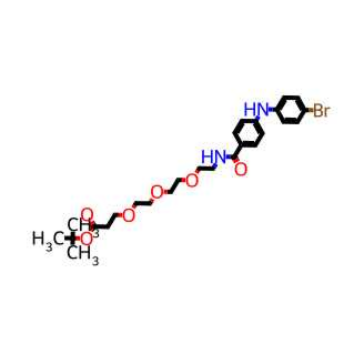 CC(C)(C)OC(=O)CCOCCOCCOCCNC(=O)c1ccc(Nc2ccc(Br)cc2)cc1